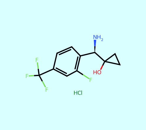 Cl.N[C@H](c1ccc(C(F)(F)F)cc1F)C1(O)CC1